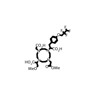 COCC(C(=O)O)N1CCN(CC(=O)O)CCN(C(Cc2ccc(OCC(F)(F)C(F)F)cc2)C(=O)O)CCN(CC(=O)OC)CC1